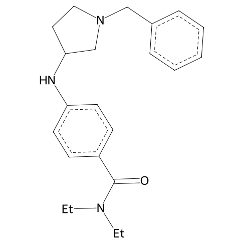 CCN(CC)C(=O)c1ccc(NC2CCN(Cc3ccccc3)C2)cc1